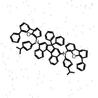 CC(C)c1ccc(N(c2cc3c(c4ccccc24)-c2c(cc(N(c4ccc(C(C)C)cc4)c4cccc5c4oc4c(-c6ccccc6)cccc45)c4ccccc24)C3(c2ccccc2)c2ccccc2)c2cccc3c2oc2c(-c4ccccc4)cccc23)cc1